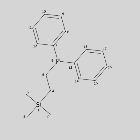 C[Si](C)(C)CCP(c1ccccc1)c1ccccc1